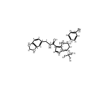 O=C(NCc1ccc2c(c1)OCO2)c1cnn2c1N[C@H](c1ccc(Br)cc1)C[C@@H]2C(F)(F)F